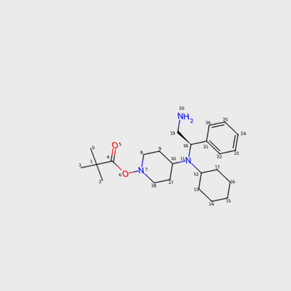 CC(C)(C)C(=O)ON1CCC(N(C2CCCCC2)[C@@H](CN)c2ccccc2)CC1